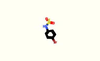 O=[SH](=O)Nc1ccc(Br)cc1